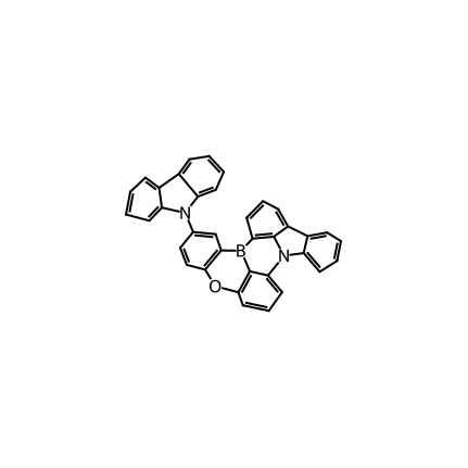 c1cc2c3c(c1)-n1c4ccccc4c4cccc(c41)B3c1cc(-n3c4ccccc4c4ccccc43)ccc1O2